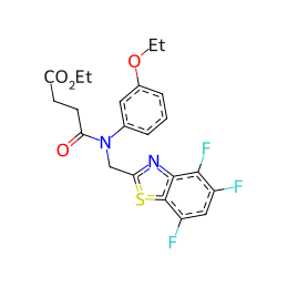 CCOC(=O)CCC(=O)N(Cc1nc2c(F)c(F)cc(F)c2s1)c1cccc(OCC)c1